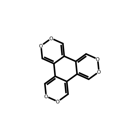 c1oocc2c1c1coocc1c1coocc21